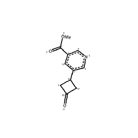 COC(=O)c1cncc(C2CC(=O)C2)c1